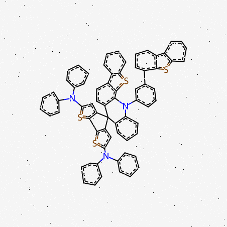 c1ccc(N(c2ccccc2)c2cc3c(s2)-c2sc(N(c4ccccc4)c4ccccc4)cc2C32c3ccccc3N(c3cccc(-c4cccc5c4sc4ccccc45)c3)c3c2ccc2c3sc3ccccc32)cc1